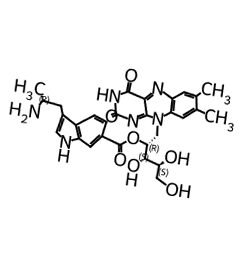 Cc1cc2nc3c(=O)[nH]c(=O)nc-3n(C[C@@H](OC(=O)c3ccc4c(C[C@@H](C)N)c[nH]c4c3)[C@@H](O)[C@@H](O)CO)c2cc1C